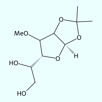 COC1C2OC(C)(C)O[C@H]2O[C@@H]1C(O)CO